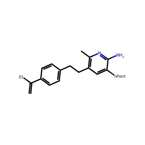 C=C(CC)c1ccc(CCc2cc(CCCCC)c(N)nc2C)cc1